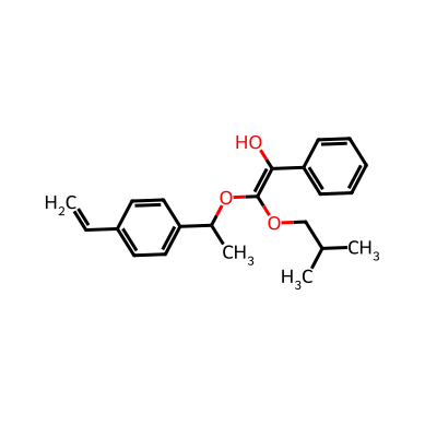 C=Cc1ccc(C(C)OC(OCC(C)C)=C(O)c2ccccc2)cc1